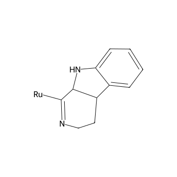 [Ru][C]1=NCCC2c3ccccc3NC12